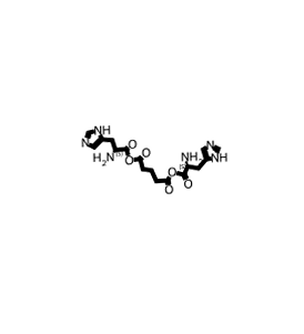 N[C@@H](Cc1cnc[nH]1)C(=O)OC(=O)CCCC(=O)OC(=O)[C@@H](N)Cc1cnc[nH]1